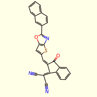 N#CC(C#N)=C1/C(=C/c2cc3oc(-c4ccc5ccccc5c4)nc3s2)C(=O)c2ccccc21